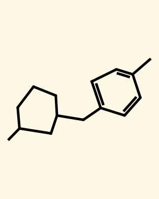 Cc1ccc(CC2CCCC(C)C2)cc1